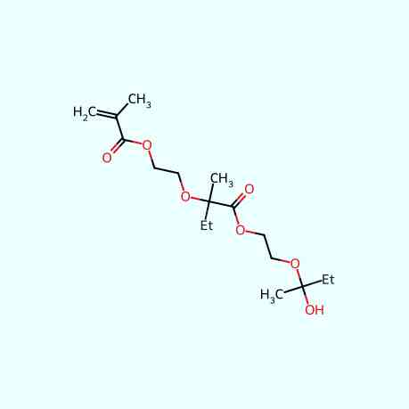 C=C(C)C(=O)OCCOC(C)(CC)C(=O)OCCOC(C)(O)CC